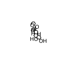 CC12CC[C@H]3[C@@H](CC[C@@]4(O)C[C@@H](O)CC[C@]34C)[C@@H]1CCCN2C(=O)[C@@H]1CCCCO1